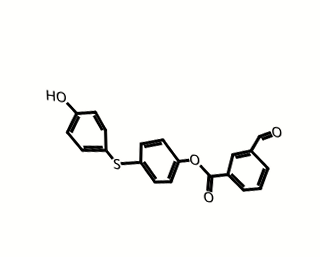 O=Cc1cccc(C(=O)Oc2ccc(Sc3ccc(O)cc3)cc2)c1